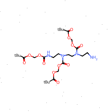 CC(C)(C)C(=O)OCOC(=O)NCCN(CCN(CCN)C(=O)OCOC(=O)C(C)(C)C)C(=O)OCOC(=O)C(C)(C)C